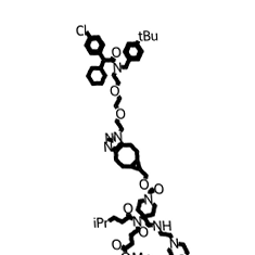 COC(=O)CCCN(C(=O)CCC(C)C)C1(C(=O)NCCN2CCOCC2)CCN(C(=O)OCC2C3CCc4nnn(CCOCCOCCN(Cc5ccc(C(C)(C)C)cc5)C(=O)C(c5ccc(Cl)cc5)C5CCCCC5)c4CCC32)CC1